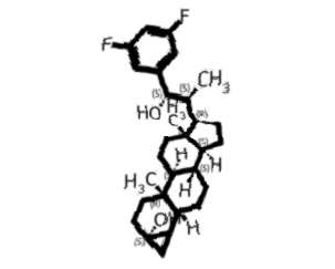 C[C@H]([C@H](O)c1cc(F)cc(F)c1)[C@H]1CC[C@H]2[C@@H]3CC[C@@H]4C5C[C@@]5(O)CC[C@]4(C)[C@H]3CC[C@]12C